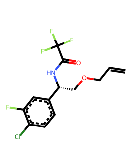 C=CCOC[C@@H](NC(=O)C(F)(F)F)c1ccc(Cl)c(F)c1